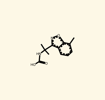 Cc1cccc2c(C(C)(C)NC(=O)O)noc12